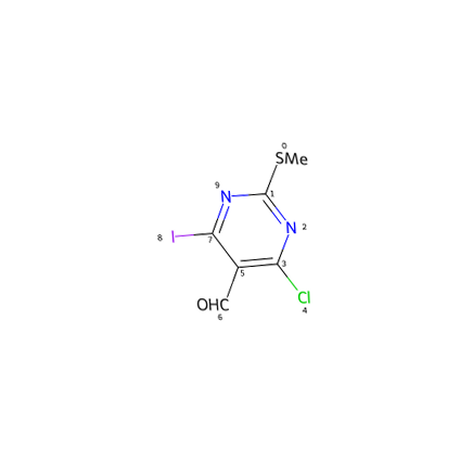 CSc1nc(Cl)c(C=O)c(I)n1